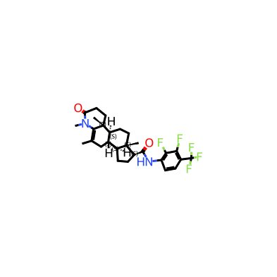 CC1=C2N(C)C(=O)CC[C@]2(C)[C@H]2CC[C@]3(C)[C@@H](C(=O)Nc4ccc(C(F)(F)F)c(F)c4F)CC[C@H]3[C@@H]2C1